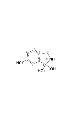 N#Cc1ccc2c(c1)C(O)(O)NC2